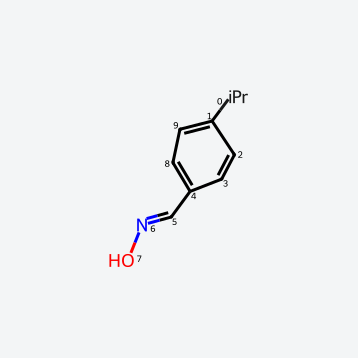 CC(C)c1ccc(C=NO)cc1